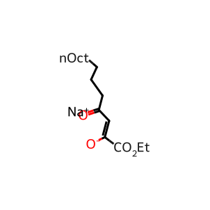 CCCCCCCCCCCC(=O)C=C([O-])C(=O)OCC.[Na+]